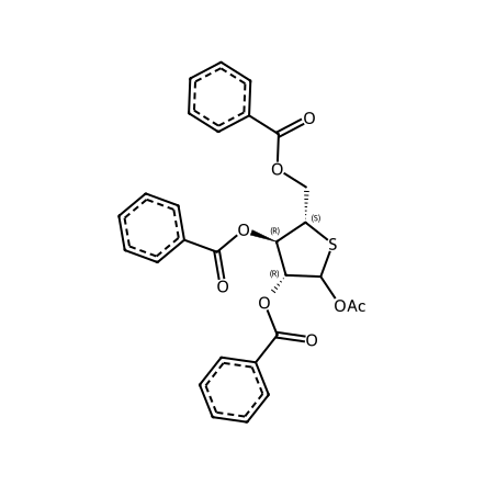 CC(=O)OC1S[C@@H](COC(=O)c2ccccc2)[C@H](OC(=O)c2ccccc2)[C@H]1OC(=O)c1ccccc1